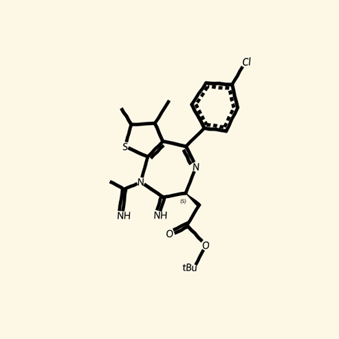 CC(=N)N1C(=N)[C@H](CC(=O)OC(C)(C)C)N=C(c2ccc(Cl)cc2)C2=C1SC(C)C2C